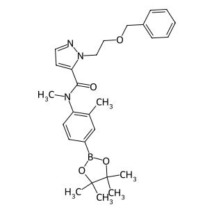 Cc1cc(B2OC(C)(C)C(C)(C)O2)ccc1N(C)C(=O)c1ccnn1CCOCc1ccccc1